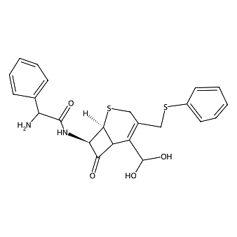 NC(C(=O)N[C@@H]1C(=O)C2C(C(O)O)=C(CSc3ccccc3)CS[C@@H]21)c1ccccc1